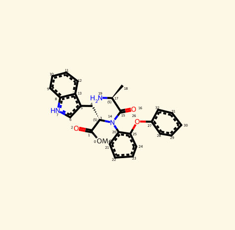 COC(=O)[C@H](Cc1c[nH]c2ccccc12)N(C(=O)[C@H](C)N)c1ccccc1Oc1ccccc1